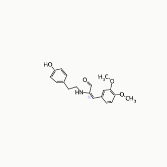 COc1ccc(/C=C(\C=O)NCCc2ccc(O)cc2)cc1OC